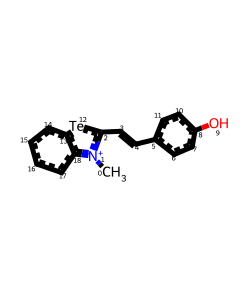 C[n+]1c(/C=C/c2ccc(O)cc2)[te]c2ccccc21